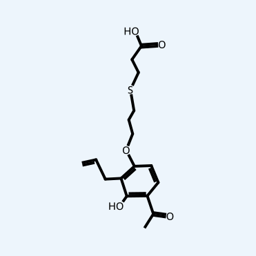 C=CCc1c(OCCCSCCC(=O)O)ccc(C(C)=O)c1O